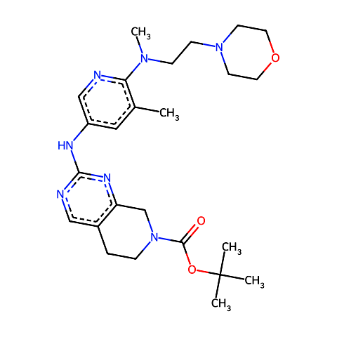 Cc1cc(Nc2ncc3c(n2)CN(C(=O)OC(C)(C)C)CC3)cnc1N(C)CCN1CCOCC1